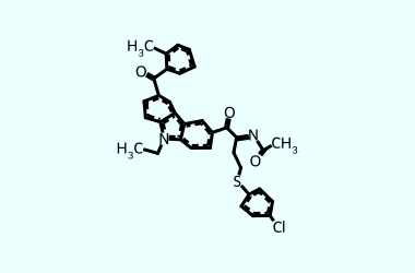 CCn1c2ccc(C(=O)/C(CCSc3ccc(Cl)cc3)=N/C(C)=O)cc2c2cc(C(=O)c3ccccc3C)ccc21